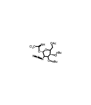 CCCCOC1C(N=[N+]=[N-])[C@H](OC(=N)C(Cl)(Cl)Cl)OC(COC(C)=O)[C@H]1OCCCC